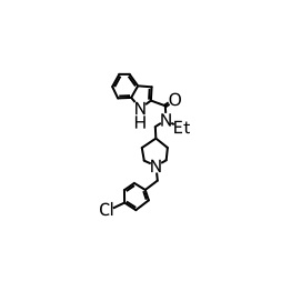 CCN(CC1CCN(Cc2ccc(Cl)cc2)CC1)C(=O)c1cc2ccccc2[nH]1